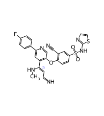 CN/C(=C\C=N)c1cc(-c2ccc(F)cc2)ncc1Oc1ccc(S(=O)(=O)Nc2nccs2)cc1C#N